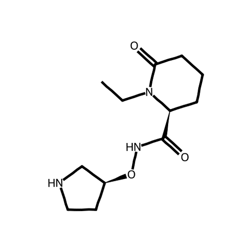 CCN1C(=O)CCC[C@H]1C(=O)NO[C@H]1CCNC1